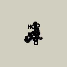 CCCc1cc(Cl)ccc1C1COc2ccc(C(O)C(=O)OC)cc2N(CC2CCC2C(O)/C=C/C[C@@H](C)N(C)C(C)=O)C1